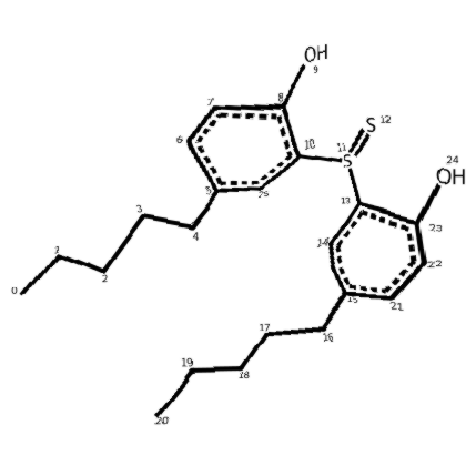 CCCCCc1ccc(O)c(S(=S)c2cc(CCCCC)ccc2O)c1